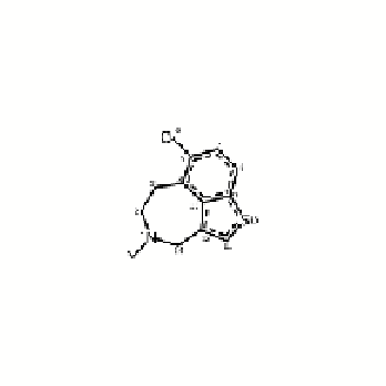 CN1CCc2c(Cl)ccc3scc(c23)C1